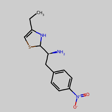 CCC1=CSC([C@@H](N)Cc2ccc([N+](=O)[O-])cc2)N1